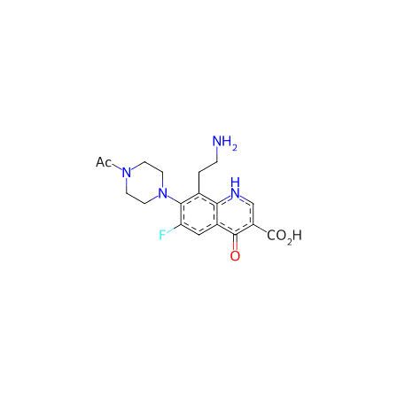 CC(=O)N1CCN(c2c(F)cc3c(=O)c(C(=O)O)c[nH]c3c2CCN)CC1